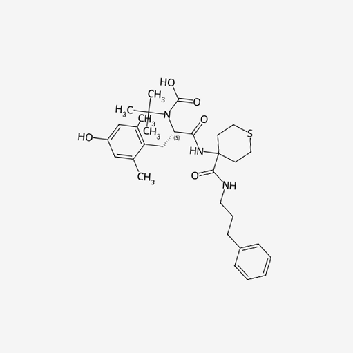 Cc1cc(O)cc(C)c1C[C@@H](C(=O)NC1(C(=O)NCCCc2ccccc2)CCSCC1)N(C(=O)O)C(C)(C)C